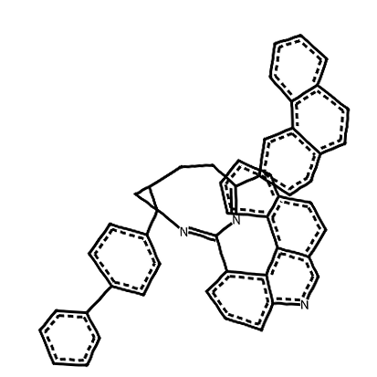 c1ccc(-c2ccc(C34CC3CC/C(c3ccc5ccc6ccccc6c5c3)=N\C(c3cccc5ncc6ccc7ccccc7c6c35)=N/4)cc2)cc1